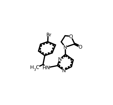 CC(Nc1nccc(N2CCOC2=O)n1)c1ccc(Br)cc1